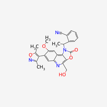 COc1cc2c(cc1-c1c(C)noc1C)nc(CO)c1oc(=O)n(C(C)c3ccccc3C#N)c12